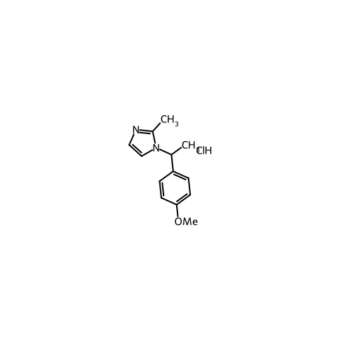 COc1ccc(C(C)n2ccnc2C)cc1.Cl